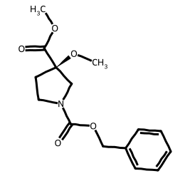 COC(=O)[C@@]1(OC)CCN(C(=O)OCc2ccccc2)C1